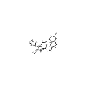 COc1ccc2cc(C)ccc2c1-c1cnc2c(-c3nnn[nH]3)c(N)nn2c1